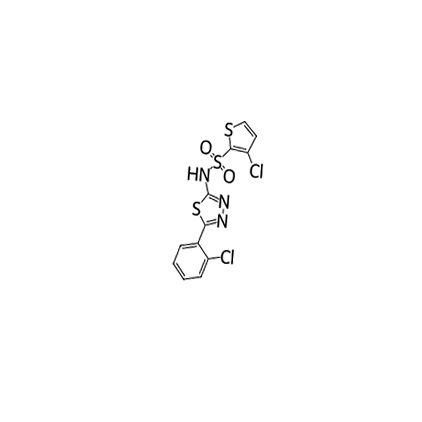 O=S(=O)(Nc1nnc(-c2ccccc2Cl)s1)c1sccc1Cl